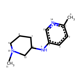 Cc1ccc(NC2CCCN(C)C2)cn1